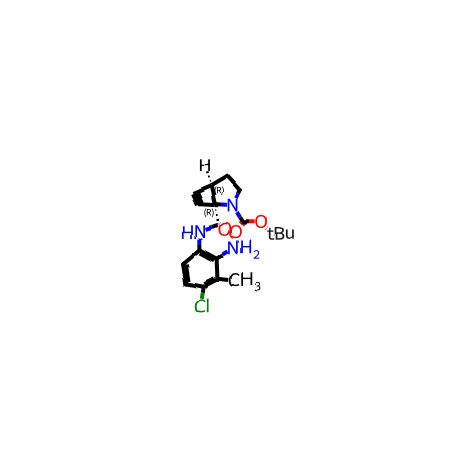 Cc1c(Cl)ccc(NC(=O)[C@]23C#C[C@H]2CCN3C(=O)OC(C)(C)C)c1N